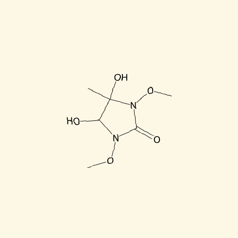 CON1C(=O)N(OC)C(C)(O)C1O